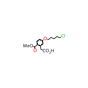 COC(=O)c1ccc(OCCCCCCl)cc1CC(=O)O